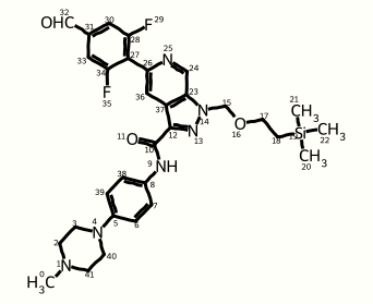 CN1CCN(c2ccc(NC(=O)c3nn(COCC[Si](C)(C)C)c4cnc(-c5c(F)cc(C=O)cc5F)cc34)cc2)CC1